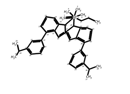 CC[CH2][Hf]([CH3])([CH3])([CH3])(=[SiH2])([CH]1C=Cc2c(-c3cccc(C(C)C)c3)cccc21)[CH]1C=Cc2c(-c3cccc(C(C)C)c3)cccc21